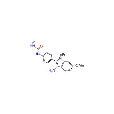 CCCn1c(-c2ccc(NC(=O)NC(C)C)cc2)c(N)c2ccc(OC)cc21